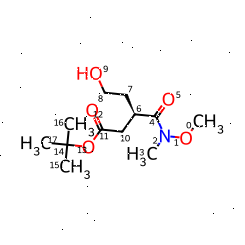 CON(C)C(=O)[C@H](CCO)CC(=O)OC(C)(C)C